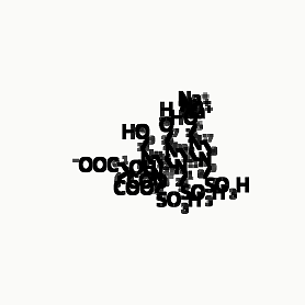 O=C([O-])CC(O)(CC(=O)[O-])C(=O)[O-].O=S(=O)(O)CCN1CCN(CCO)CC1.O=S(=O)(O)CCN1CCN(CCO)CC1.O=S(=O)(O)CCN1CCN(CCO)CC1.[Na+].[Na+].[Na+]